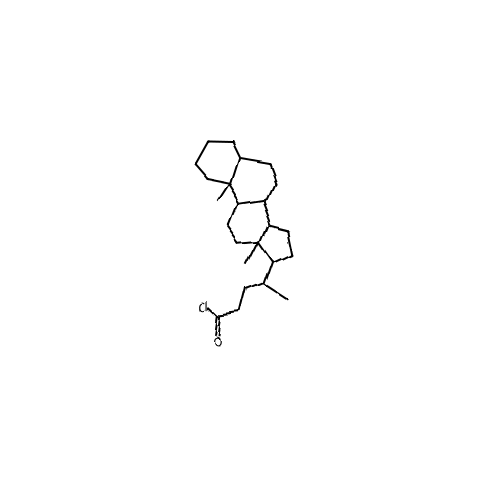 CC(CCC(=O)Cl)C1CCC2C3CCC4CCCCC4(C)C3CCC12C